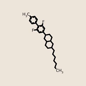 CCCCCCCC1CCC2CC(c3cc(F)c(-c4ccc(C)cc4)c(F)c3)CCC2C1